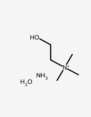 C[N+](C)(C)CCO.N.O